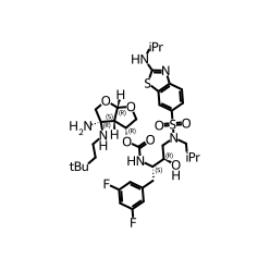 CC(C)CN(C[C@@H](O)[C@H](Cc1cc(F)cc(F)c1)NC(=O)O[C@H]1CO[C@H]2OC[C@](N)(NCCC(C)(C)C)[C@H]21)S(=O)(=O)c1ccc2nc(NC(C)C)sc2c1